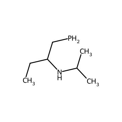 CCC(CP)NC(C)C